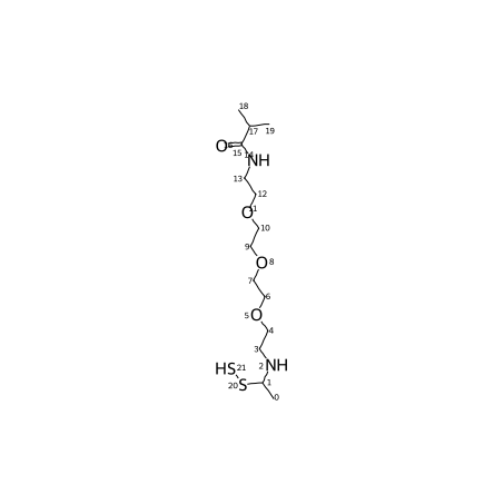 CC(NCCOCCOCCOCCNC(=O)C(C)C)SS